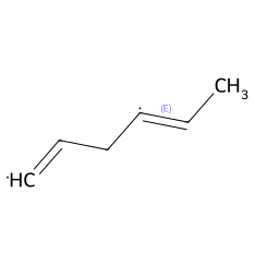 [CH]=CC/[C]=C/C